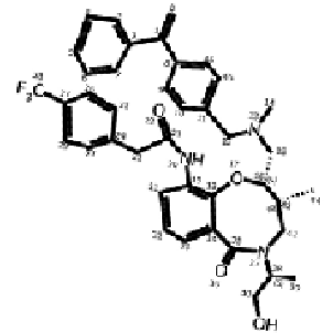 C=C(c1ccccc1)c1ccc(CN(C)C[C@H]2Oc3c(NC(=O)Cc4ccc(C(F)(F)F)cc4)cccc3C(=O)N([C@@H](C)CO)C[C@H]2C)cc1